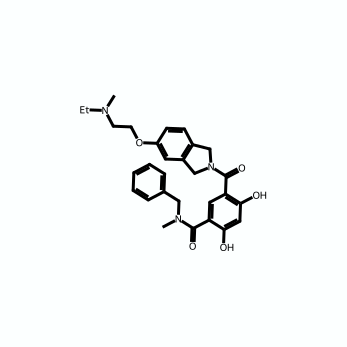 CCN(C)CCOc1ccc2c(c1)CN(C(=O)c1cc(C(=O)N(C)Cc3ccccc3)c(O)cc1O)C2